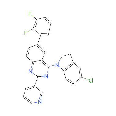 Fc1cccc(-c2ccc3nc(-c4cccnc4)nc(N4CCc5cc(Cl)ccc54)c3c2)c1F